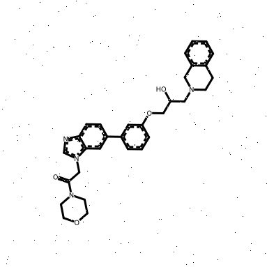 O=C(Cn1cnc2ccc(-c3cccc(OCC(O)CN4CCc5ccccc5C4)c3)cc21)N1CCOCC1